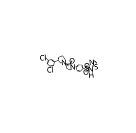 O=C1[C@@H](N2CCCC(c3cc(Cl)cc(Cl)c3)C2)CCN1c1ccc(S(=O)(=O)Nc2nccs2)cc1